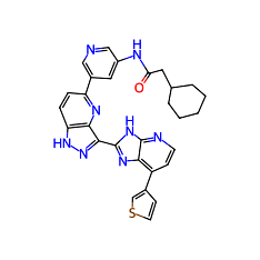 O=C(CC1CCCCC1)Nc1cncc(-c2ccc3[nH]nc(-c4nc5c(-c6ccsc6)ccnc5[nH]4)c3n2)c1